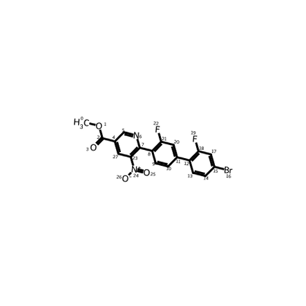 COC(=O)c1cnc(-c2ccc(-c3ccc(Br)cc3F)cc2F)c([N+](=O)[O-])c1